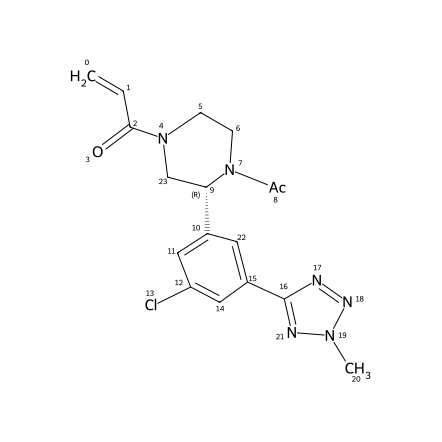 C=CC(=O)N1CCN(C(C)=O)[C@H](c2cc(Cl)cc(-c3nnn(C)n3)c2)C1